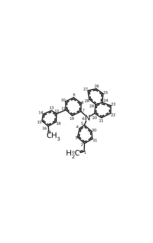 C=Cc1ccc(N(c2cccc(-c3cccc(C)c3)c2)c2cccc3ccccc23)cc1